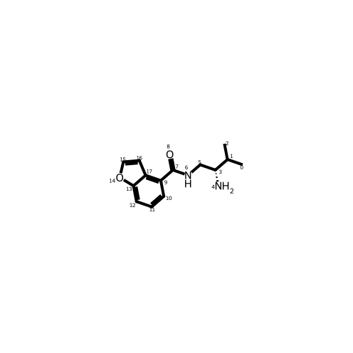 CC(C)[C@H](N)CNC(=O)c1cccc2occc12